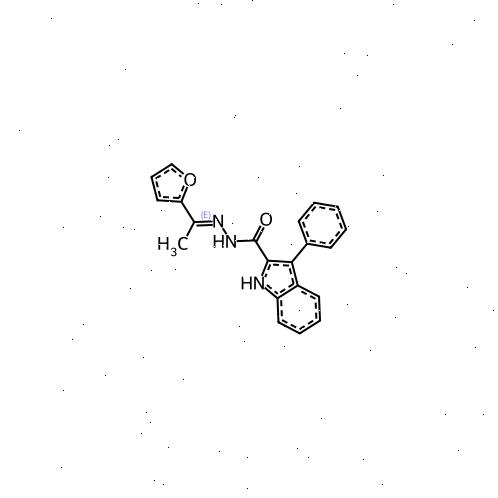 C/C(=N\NC(=O)c1[nH]c2ccccc2c1-c1ccccc1)c1ccco1